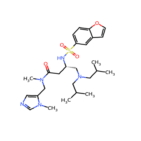 CC(C)CN(CC(C)C)C[C@H](CC(=O)N(C)Cc1cncn1C)NS(=O)(=O)c1ccc2occc2c1